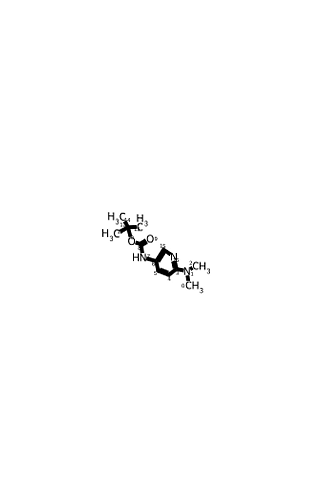 CN(C)c1ccc(NC(=O)OC(C)(C)C)cn1